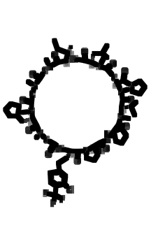 CC[C@H](C)[C@@H]1NC(=O)[C@H](CC(C)C)N(C)C(=O)C[C@@H](C(=O)N2CCCC2)N(C)C(=O)[C@H](C(C)C)N(C)C(=O)C2(CCCC2)NC(=O)[C@@H]2CCCN2C(=O)[C@H](CCc2ccc(C(F)(F)F)c(Cl)c2)NC(=O)CN(C)C(=O)[C@H](CC2CCCC2)N(C)C(=O)CN(C)C(=O)CN(C)C1=O